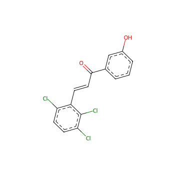 O=C(/C=C/c1c(Cl)ccc(Cl)c1Cl)c1cccc(O)c1